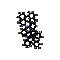 CC1CC=CC(c2cccc3c2-c2ccccc2C3(C)c2ccccc2)=C1N(c1ccccc1-c1cccc2cccc(C3CCCCC3)c12)c1cccc2c1c1ccccc1n2-c1ccccc1